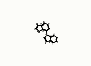 c1cc(-n2ccc3ccccc32)c2sccc2c1